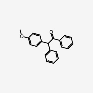 COc1ccc(C(C(=O)c2ccccc2)c2ccccc2)cc1